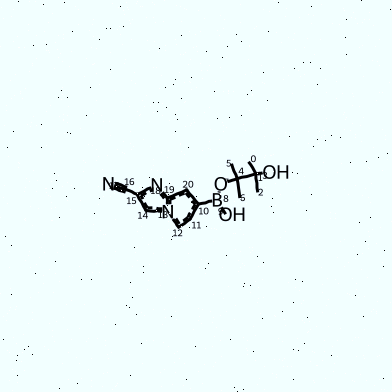 CC(C)(O)C(C)(C)OB(O)c1ccn2cc(C#N)nc2c1